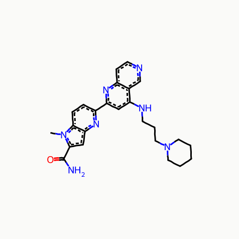 Cn1c(C(N)=O)cc2nc(-c3cc(NCCCN4CCCCC4)c4cnccc4n3)ccc21